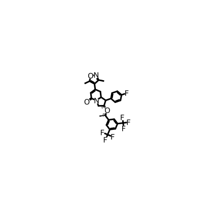 Cc1noc(C)c1C1=CC(=O)N2C[C@H](O[C@H](C)c3cc(C(F)(F)F)cc(C(F)(F)F)c3)C(c3ccc(F)cc3)C2C1